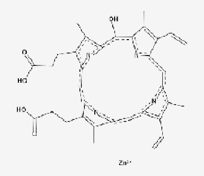 C=CC1=C(C)c2nc1cc1[n-]c(cc3nc(cc4[n-]c(c(C)c4CCC(=O)O)c2O)C(CCC(=O)O)=C3C)c(C=C)c1C.[Zn+2]